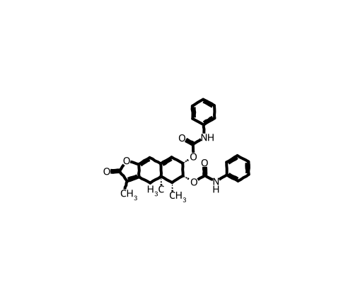 CC1=C2C[C@@]3(C)C(=C[C@H](OC(=O)Nc4ccccc4)[C@H](OC(=O)Nc4ccccc4)[C@@H]3C)C=C2OC1=O